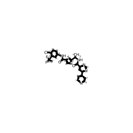 CC(NC(=O)c1cc(-c2ccncc2)ncn1)c1ncc(C(=O)Nc2ccc(Cl)c(C(F)(F)F)c2)s1